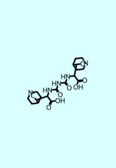 O=C(NC(=O)NC(C(=O)O)C1CN2CCC1CC2)NC(C(=O)O)C1CN2CCC1CC2